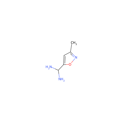 Cc1cc(C(N)N)on1